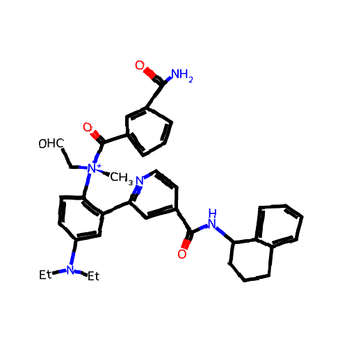 CCN(CC)c1ccc([N@+](C)(CC=O)C(=O)c2cccc(C(N)=O)c2)c(-c2cc(C(=O)NC3CCCc4ccccc43)ccn2)c1